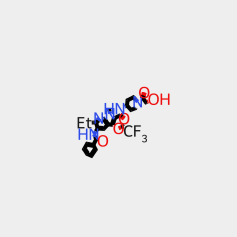 CCc1nc2c(cc1NC(=O)c1ccccc1)c(OCC(F)(F)F)c(C(=O)NC1CCN(C(=O)CO)CC1)n2C